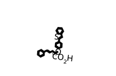 O=C(O)[C@H](CC=Cc1ccccc1)Oc1ccc(-c2cc3ccccc3s2)cc1